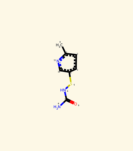 Cc1ccc(SNC(N)=O)cn1